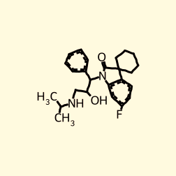 CC(C)NCC(O)C(c1ccccc1)N1C(=O)C2(CCCCC2)c2ccc(F)cc21